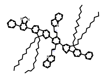 CCCCCCCCCCCCC1(CCCCCCCCCCCC)c2cc(-c3ccccc3)ccc2-c2ccc(-c3cc(/C=C/c4ccc5ccccc5n4)c(-c4ccc5c(c4)C(CCCCCCCCCCCC)(CCCCCCCCCCCC)c4cc(-c6ccc(-c7ccccc7)c7c6=NCN=7)ccc4-5)cc3/C=C/c3ccc4ccccc4n3)cc21